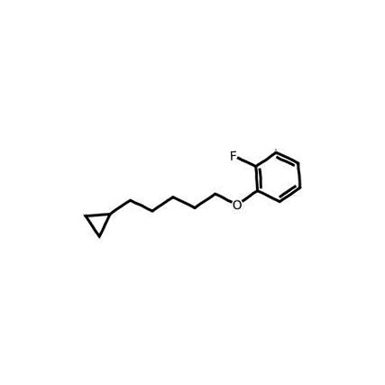 Fc1[c]cccc1OCCCCCC1CC1